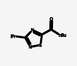 CCCCC(=O)c1nc(C(C)C)ns1